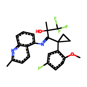 COc1ccc(F)cc1C1(C(=Nc2cccc3nc(C)ccc23)C(C)(O)C(F)(F)F)CC1